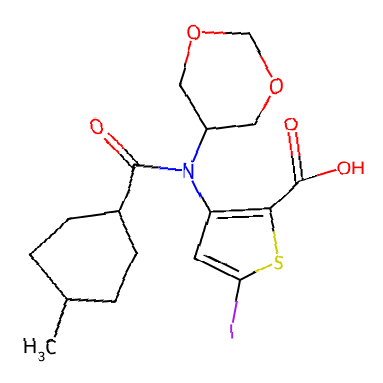 CC1CCC(C(=O)N(c2cc(I)sc2C(=O)O)C2COCOC2)CC1